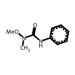 CON(C)C(=O)Nc1c[c]ccc1